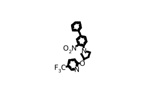 O=[N+]([O-])c1cc(-c2ccccc2)ccc1N1CCC(Oc2ccc(C(F)(F)F)cn2)C1